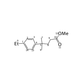 CCc1ccc(C(C)(C)CCC(=O)OC)cc1